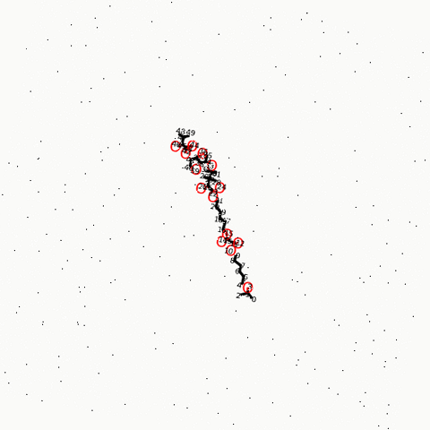 CC(C)OCCCCCCOC(=O)C(=O)OCCCCCCOC(=O)C(=O)C(C)(C)C(C)(C)O[C@@H]1COC2C1OC[C@H]2OC(=O)C(=O)C(C)C